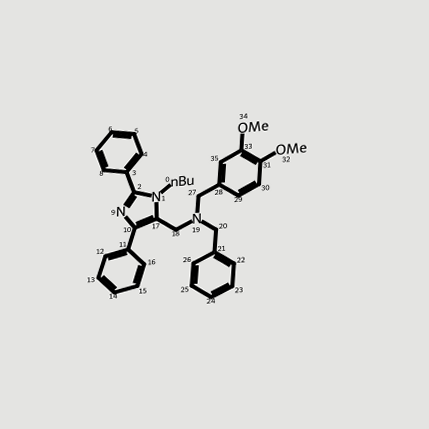 CCCCn1c(-c2ccccc2)nc(-c2ccccc2)c1CN(Cc1ccccc1)Cc1ccc(OC)c(OC)c1